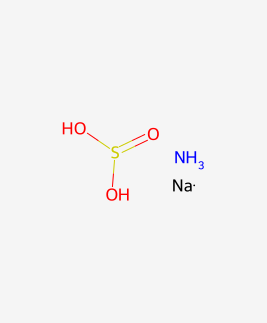 N.O=S(O)O.[Na]